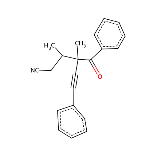 CC(CC#N)C(C)(C#Cc1ccccc1)C(=O)c1ccccc1